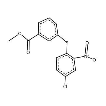 COC(=O)c1cccc(Sc2ccc(Cl)cc2[N+](=O)[O-])c1